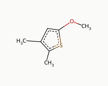 COc1cc(C)c(C)s1